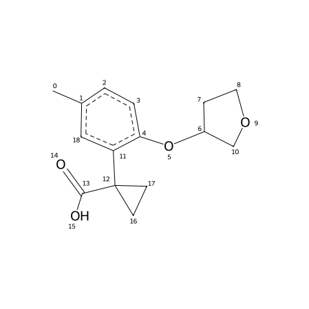 Cc1ccc(OC2CCOC2)c(C2(C(=O)O)CC2)c1